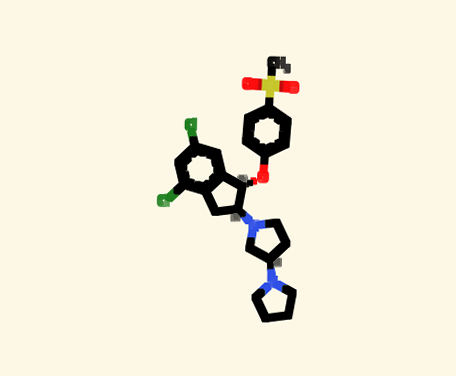 CS(=O)(=O)c1ccc(O[C@H]2c3cc(Cl)cc(Cl)c3C[C@@H]2N2CC[C@@H](N3CCCC3)C2)cc1